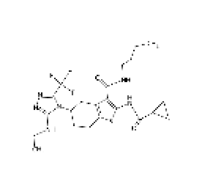 CCCCNC(=O)c1c(NC(=O)C2CC2)sc2c1CC(n1c(NCC)nnc1C(F)(F)F)CC2